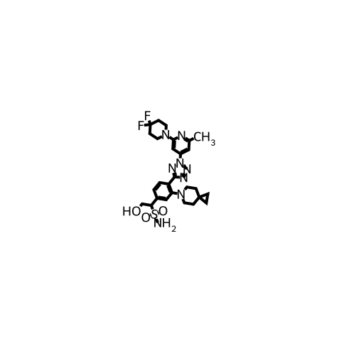 Cc1cc(-n2nnc(-c3ccc(C(CO)S(N)(=O)=O)cc3N3CCC4(CC3)CC4)n2)cc(N2CCC(F)(F)CC2)n1